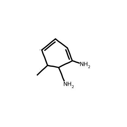 CC1[C]=CC=C(N)C1N